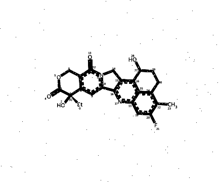 CC[C@@]1(O)C(=O)OCc2c1cc1n(c2=O)Cc2c-1nc1cc(F)c(C)c3c1c2C(O)CC3